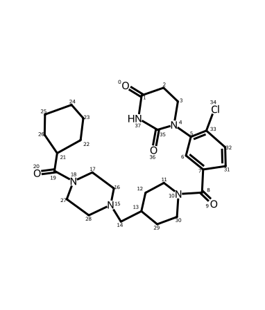 O=C1CCN(c2cc(C(=O)N3CCC(CN4CCN(C(=O)C5CCCCC5)CC4)CC3)ccc2Cl)C(=O)N1